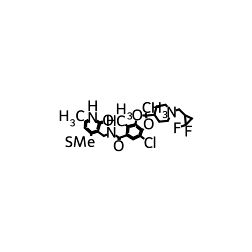 CSc1cc(C)[nH]c(=O)c1CNC(=O)c1cc(Cl)c2c(c1C)OC(C)(C1CCN(CC3CC3(F)F)CC1)O2